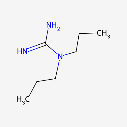 CCCN(CCC)C(=N)N